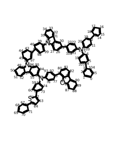 c1ccc(-c2ccc(N(c3ccc(-c4ccccc4)cc3)c3ccc(-c4ccc5c(c4)c4ccccc4n5-c4ccc(-c5cccc(-n6c7ccccc7c7cc(N(c8ccc(-c9ccc(-c%10ccccc%10)s9)cc8)c8ccc(-c9cccc%10c9oc9ccccc9%10)cc8)ccc76)c5)cc4)cc3)cc2)cc1